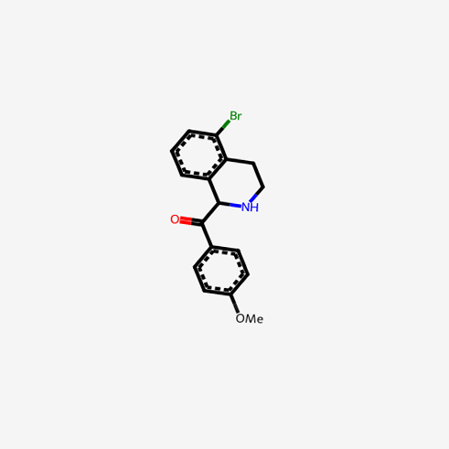 COc1ccc(C(=O)C2NCCc3c(Br)cccc32)cc1